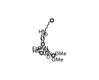 CCC(=O)Nc1ccc(CN2C(=O)N(c3cc(OC)cc(OC)c3)Cc3cnc(Nc4ccc(N5CCN(CC(=O)NCCCCCCc6ccccc6)CC5)cc4)nc32)cc1